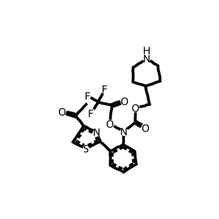 CC(=O)c1csc(-c2ccccc2N(OC(=O)C(F)(F)F)C(=O)OCC2CCNCC2)n1